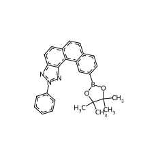 CC1(C)OB(c2ccc3ccc4ccc5nn(-c6ccccc6)nc5c4c3c2)OC1(C)C